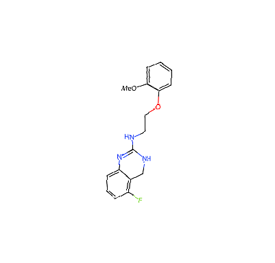 COc1ccccc1OCCNC1=Nc2cccc(F)c2CN1